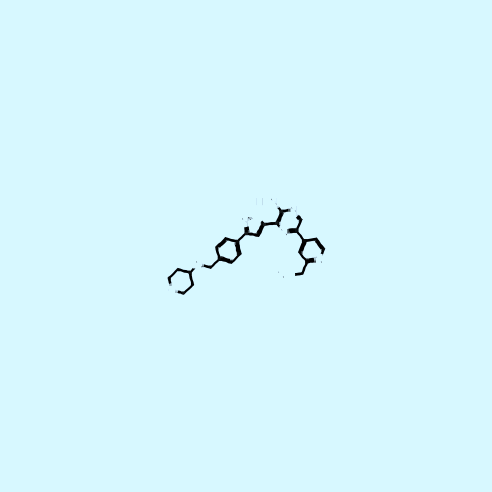 N#CCc1cc(-c2cnc(N)c(-c3cc(-c4ccc(CNC5CCOCC5)cc4)no3)n2)ccn1